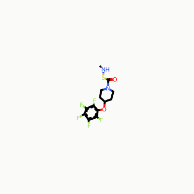 CNSC(=O)N1CCC(Oc2c(F)c(F)c(F)c(F)c2F)CC1